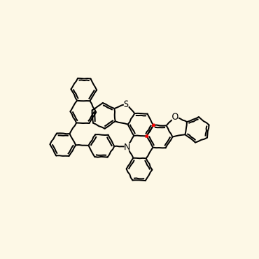 c1ccc(-c2ccc3ccccc3c2)c(-c2ccc(N(c3ccccc3-c3ccc4oc5ccccc5c4c3)c3cccc4sc5ccccc5c34)cc2)c1